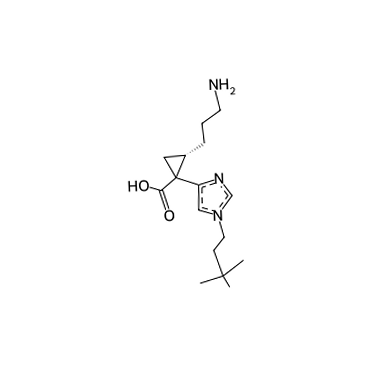 CC(C)(C)CCn1cnc(C2(C(=O)O)C[C@@H]2CCCN)c1